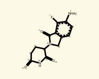 CC(=O)Nc1ccc2c(c1F)C(=O)N(C1CCC(=O)NC1=O)C2